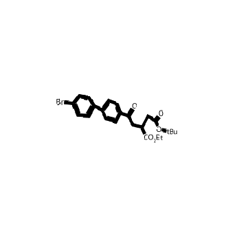 CCOC(=O)C(CC(=O)OC(C)(C)C)CC(=O)c1ccc(-c2ccc(Br)cc2)cc1